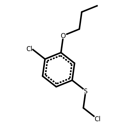 CCCOc1cc(SCCl)ccc1Cl